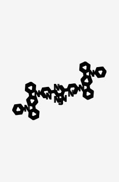 c1ccc(-n2c3ccccc3c3cc4c(cc32)c2ccccc2n4-c2ccc(-c3cnc(-c4ccc(-n5c6ccccc6c6cc7c(cc65)c5ccccc5n7-c5ccccc5)cn4)c4nsnc34)nc2)cc1